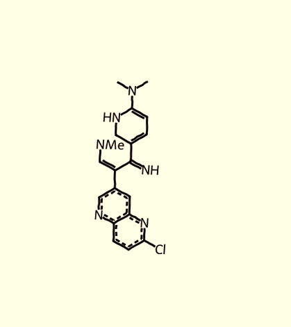 CN/C=C(\C(=N)C1=CC=C(N(C)C)NC1)c1cnc2ccc(Cl)nc2c1